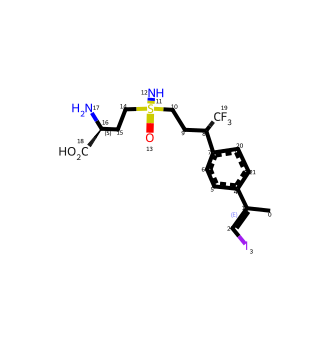 C/C(=C\I)c1ccc(C(CCS(=N)(=O)CC[C@H](N)C(=O)O)C(F)(F)F)cc1